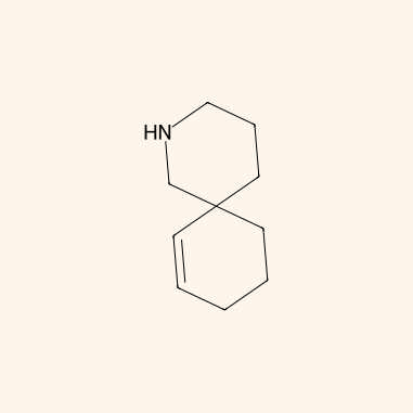 C1=CC2(CCC1)CCCNC2